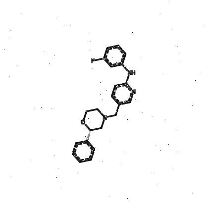 Fc1cccc(Nc2ccc(CN3CCO[C@@H](c4ccccc4)C3)cn2)c1